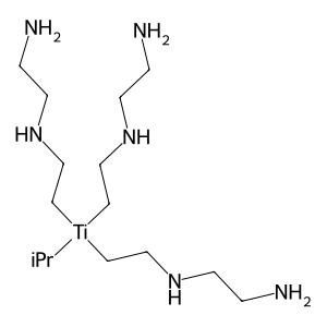 C[CH](C)[Ti]([CH2]CNCCN)([CH2]CNCCN)[CH2]CNCCN